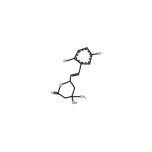 CC1(O)CC(=O)OC(/C=C/c2cc(Cl)ccc2Cl)C1